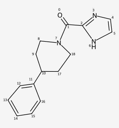 O=C(c1ncc[nH]1)N1CCC(c2ccccc2)CC1